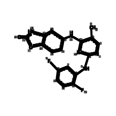 Cc1cnc(Nc2cc(F)ccc2F)nc1Nc1ccc2oc(=O)[nH]c2c1